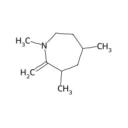 C=C1C(C)CC(C)CCN1C